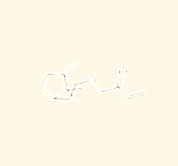 C=CC(=O)COC1CC2CCC1(C)C2(C)C